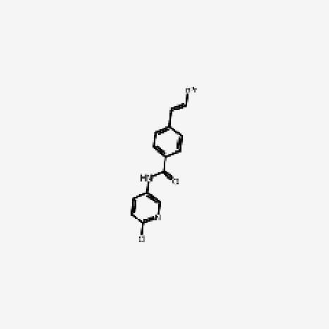 CCC/C=C/c1ccc(C(=O)Nc2ccc(Cl)nc2)cc1